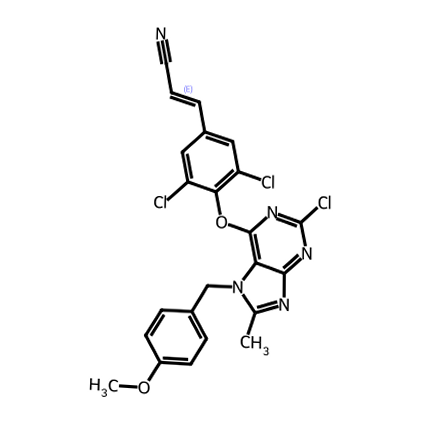 COc1ccc(Cn2c(C)nc3nc(Cl)nc(Oc4c(Cl)cc(/C=C/C#N)cc4Cl)c32)cc1